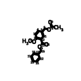 COc1ccc(COC(C)=O)cc1C(=O)OCc1ccccc1